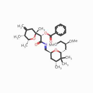 C=C1C[C@](C)([C@H](OC(=O)c2ccccc2)C(=O)/N=C/[C@@H]2C[C@@H](C)C(C)(C)[C@@H](C[C@@H](COC)OC)O2)O[C@H](C)[C@@H]1C